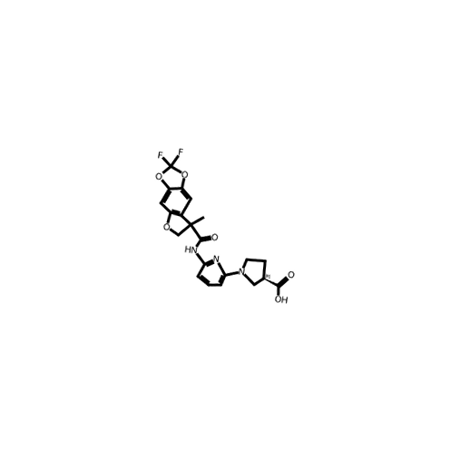 CC1(C(=O)Nc2cccc(N3CC[C@@H](C(=O)O)C3)n2)COc2cc3c(cc21)OC(F)(F)O3